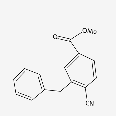 COC(=O)c1ccc(C#N)c(Cc2ccccc2)c1